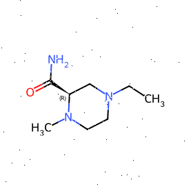 CCN1CCN(C)[C@@H](C(N)=O)C1